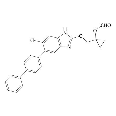 O=COC1(COc2nc3cc(-c4ccc(-c5ccccc5)cc4)c(Cl)cc3[nH]2)CC1